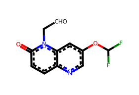 O=CCn1c(=O)ccc2ncc(OC(F)F)cc21